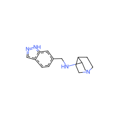 c1cc2cn[nH]c2cc1CNC1CN2CCC1CC2